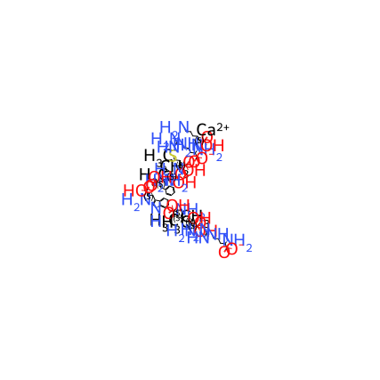 CC(C)C[C@H](N)C(=O)O.CC[C@H](C)[C@H](N)C(=O)O.CSCC[C@H](N)C(=O)O.C[C@@H](O)[C@H](N)C(=O)O.N=C(N)NCCCC(N)C(=O)[O-].N=C(N)NCCCC(N)C(=O)[O-].NCCCC[C@H](N)C(=O)O.N[C@@H](Cc1c[nH]c2ccccc12)C(=O)O.N[C@@H](Cc1ccccc1)C(=O)O.[Ca+2]